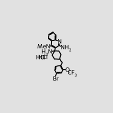 CNc1c(C2(N)CCC(Cc3ccc(Br)cc3OC(F)(F)F)CC2)c(N)nc2ccccc12.Cl.Cl